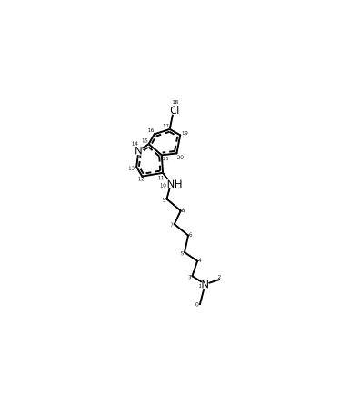 CN(C)CCCCCCCNc1ccnc2cc(Cl)ccc12